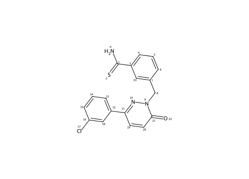 NC(=S)c1cccc(Cn2nc(-c3cccc(Cl)c3)ccc2=O)c1